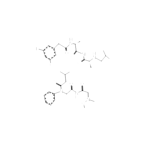 CC(C)CN[C@@H](C)C(=O)NC(=O)[C@H](C)NC(=O)Cc1cc(F)cc(F)c1.CON(C)[C@@H](C)C(=O)NC(=O)CN(C(=O)CC(C)C)c1ccccc1